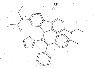 CC(C)N(c1ccc2c(c1)[CH]([Zr+2]([C]1=CC=CC1)=[C](c1ccccc1)c1ccccc1)c1cc(N(C(C)C)C(C)C)ccc1-2)C(C)C.[Cl-].[Cl-]